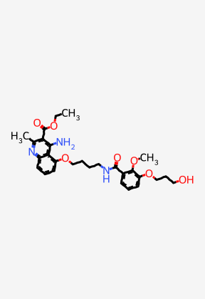 CCOC(=O)c1c(C)nc2cccc(OCCCCNC(=O)c3cccc(OCCCO)c3OC)c2c1N